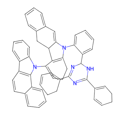 C1=CCCC(C2=NC(c3ccccc3N3C4=Cc5ccccc5CC4C4=C3CCC=C4n3c4ccccc4c4ccc5ccccc5c43)NC(C3=CCCC=C3)=N2)=C1